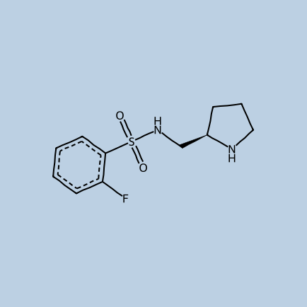 O=S(=O)(NC[C@H]1CCCN1)c1ccccc1F